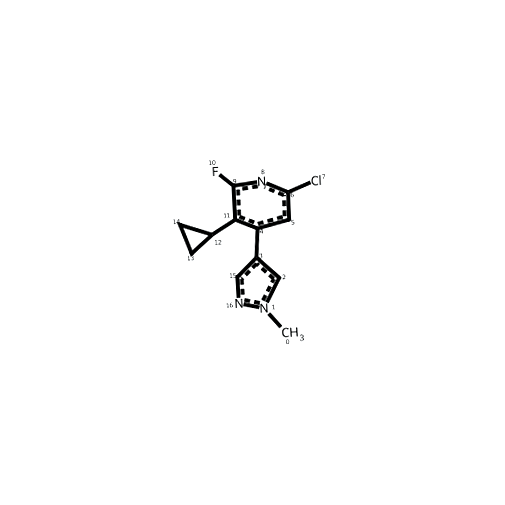 Cn1cc(-c2cc(Cl)nc(F)c2C2CC2)cn1